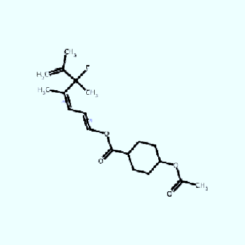 C=C(C)C(C)(F)/C(C)=C\C=C\OC(=O)C1CCC(OC(C)=O)CC1